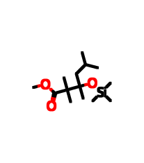 COC(=O)C(C)(C)C(C)(CC(C)C)O[Si](C)(C)C